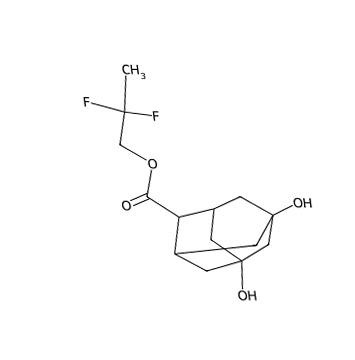 CC(F)(F)COC(=O)C1C2CC3(O)CC1CC(O)(C2)C3